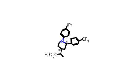 CCOC(=O)C(C)[C@H]1CCN(c2ccc(C(C)C)cc2)[C@@H](c2ccc(C(F)(F)F)cc2)C1